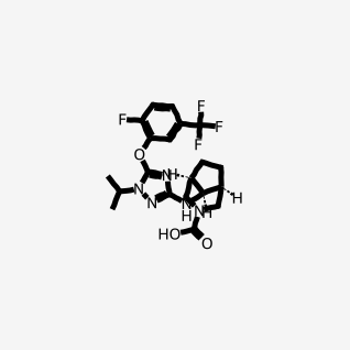 CC(C)n1nc(N[C@H]2[C@@H]3CC[C@H]2CN(C(=O)O)C3)nc1Oc1cc(C(F)(F)F)ccc1F